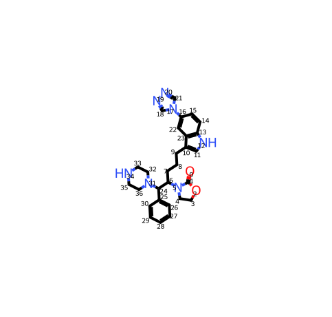 O=C1OCCN1C(CCCc1c[nH]c2ccc(-n3cnnc3)cc12)C(c1ccccc1)N1CCNCC1